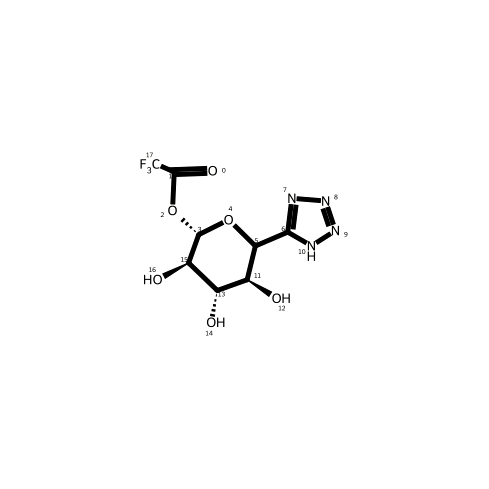 O=C(O[C@@H]1OC(c2nnn[nH]2)[C@@H](O)[C@H](O)[C@H]1O)C(F)(F)F